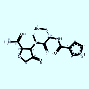 CN(C(=O)[C@H](CC(C)(C)C)NC(=O)c1cc[nH]c1)C1C(=O)COC1C(N)=O